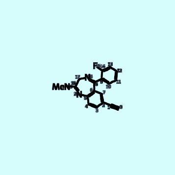 C#Cc1ccc2c(c1)C(c1ccccc1F)=NCC(NC)=N2